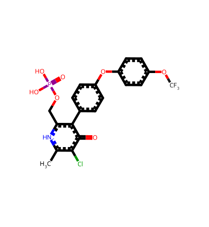 Cc1[nH]c(COP(=O)(O)O)c(-c2ccc(Oc3ccc(OC(F)(F)F)cc3)cc2)c(=O)c1Cl